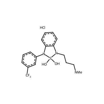 CNCCCN1c2ccccc2N(c2cccc(C(F)(F)F)c2)S1(O)O.Cl